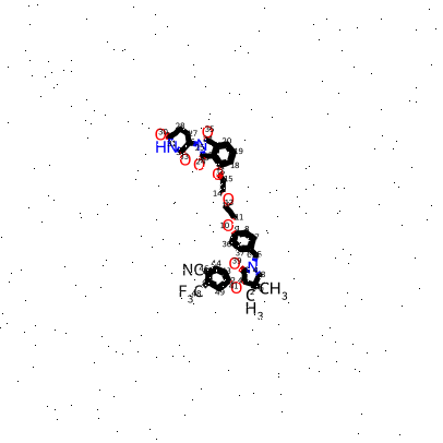 CC1(C)CN(Cc2ccc(OCCOCCOc3cccc4c3C(=O)N(C3CCC(=O)NC3=O)C4=O)cc2)C(=O)C1Oc1ccc(C#N)c(C(F)(F)F)c1